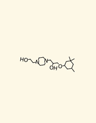 CC1CC(OCC(O)CN2CCN(CCO)CC2)CC(C)(C)C1